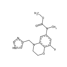 COC(=O)N(C)c1cc(F)c2c(c1)N(Cc1c[nH]cn1)CCO2